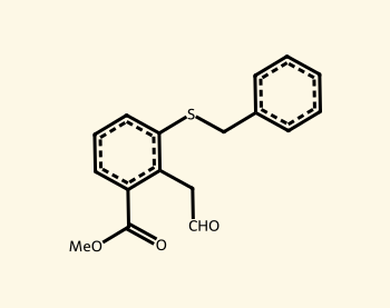 COC(=O)c1cccc(SCc2ccccc2)c1CC=O